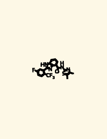 Cc1nc(NC(=O)c2cccc3[nH]c(-c4cc(F)ccc4C(F)(F)F)nc23)sc1C